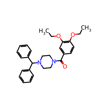 CCOc1ccc(C(=O)N2CCN(C(c3ccccc3)c3ccccc3)CC2)cc1OCC